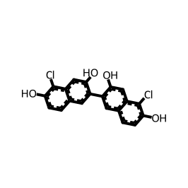 Oc1cc2c(Cl)c(O)ccc2cc1-c1cc2ccc(O)c(Cl)c2cc1O